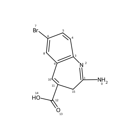 NC1=Nc2ccc(Br)cc2C=C(C(=O)O)C1